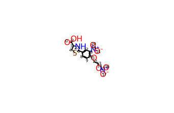 O=C(O)C1CSC(c2ccc(OCCO[N+](=O)[O-])c([N+](=O)[O-])c2)N1